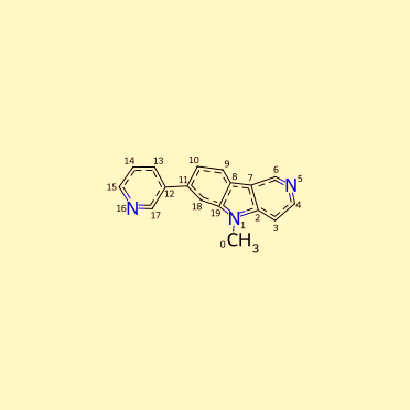 Cn1c2ccncc2c2ccc(-c3cccnc3)cc21